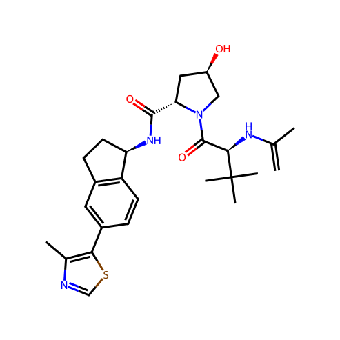 C=C(C)N[C@H](C(=O)N1C[C@H](O)C[C@H]1C(=O)N[C@@H]1CCc2cc(-c3scnc3C)ccc21)C(C)(C)C